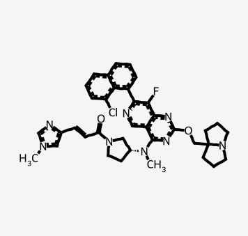 CN(c1nc(OCC23CCCN2CCC3)nc2c(F)c(-c3cccc4cccc(Cl)c34)ncc12)[C@@H]1CCN(C(=O)/C=C/c2cn(C)cn2)C1